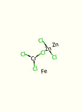 [Cl][Cr]([Cl])[Cl].[Cl][Zn][Cl].[Fe].[Zn]